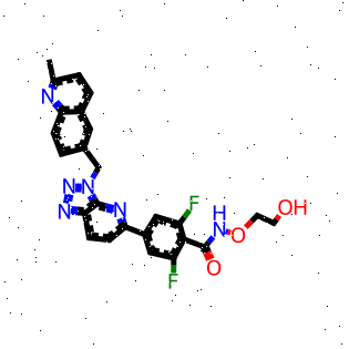 Cc1ccc2cc(Cn3nnc4ccc(-c5cc(F)c(C(=O)NOCCO)c(F)c5)nc43)ccc2n1